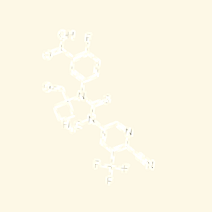 CN(C(=S)N(c1ccc(F)c(C(=O)O)c1)C1(C=O)CCC1)c1cnc(C#N)c(C(F)(F)F)c1